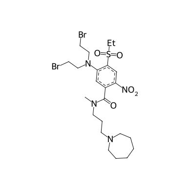 CCS(=O)(=O)c1cc([N+](=O)[O-])c(C(=O)N(C)CCCN2CCCCCC2)cc1N(CCBr)CCBr